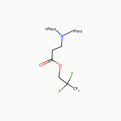 CCCCCN(CCCCC)CCC(=O)OCC(F)(F)C(F)(F)F